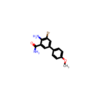 COc1ccc(-c2cc(Br)c(N)c(C(N)=O)c2)cc1